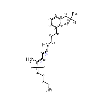 CC(C)CCCCC(C)(C)/C(N)=C/C=C/NCCCc1cccc(CC(C)(F)F)c1